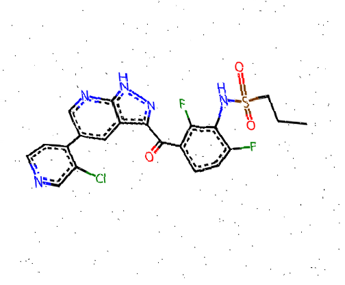 CCCS(=O)(=O)Nc1c(F)ccc(C(=O)c2n[nH]c3ncc(-c4ccncc4Cl)cc23)c1F